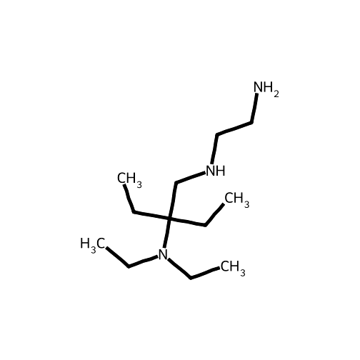 CCN(CC)C(CC)(CC)CNCCN